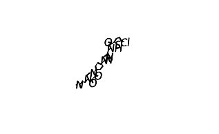 CN(C)CCn1ccn(-c2ccc(-n3cc(CNC(=O)c4ccc(Cl)s4)nn3)cc2)c(=O)c1=O